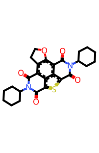 O=C1c2sc3c4c(c5c(c(c24)C(=O)N1C1CCCCC1)CCO5)C(=O)N(C1CCCCC1)C3=O